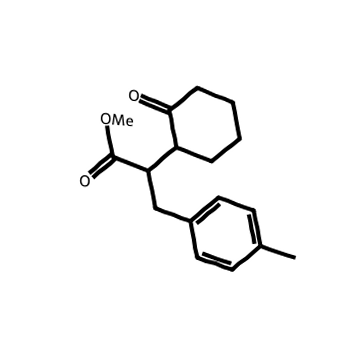 COC(=O)C(Cc1ccc(C)cc1)C1CCCCC1=O